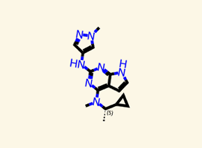 C[C@@H](C1CC1)N(C)c1nc(Nc2cnn(C)c2)nc2[nH]ccc12